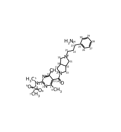 Cc1nc(N(C)S(C)(=O)=O)nc(C)c1C(=O)N1CC2CN(CC[C@H](N)c3ccccc3)CC2C1